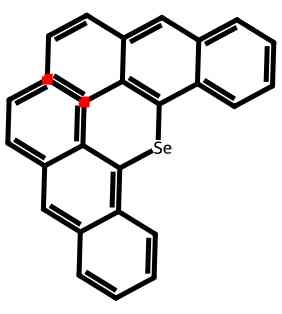 c1ccc2c([Se]c3c4ccccc4cc4ccccc34)c3ccccc3cc2c1